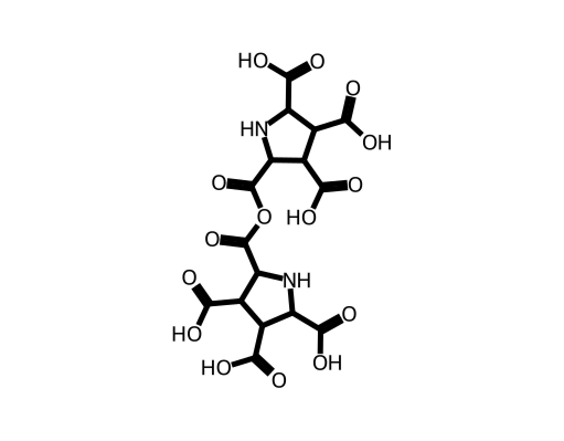 O=C(O)C1NC(C(=O)OC(=O)C2NC(C(=O)O)C(C(=O)O)C2C(=O)O)C(C(=O)O)C1C(=O)O